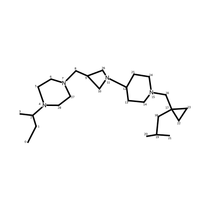 CCC(C)N1CCN(CC2CN(C3CCN(CC4(CC(C)C)CC4)CC3)C2)CC1